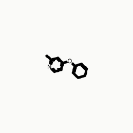 Cc1cc(OC2=CCCC=C2)ccn1